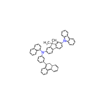 CC1(C)c2cc(N(c3cccc(C4=c5ccccc5=C5C=CC=CC5C4)c3)c3cccc4ccccc34)ccc2-c2ccc(-n3c4ccccc4c4ccccc43)cc21